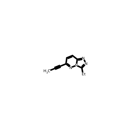 CC#Cc1ccc2nnc(CC)n2n1